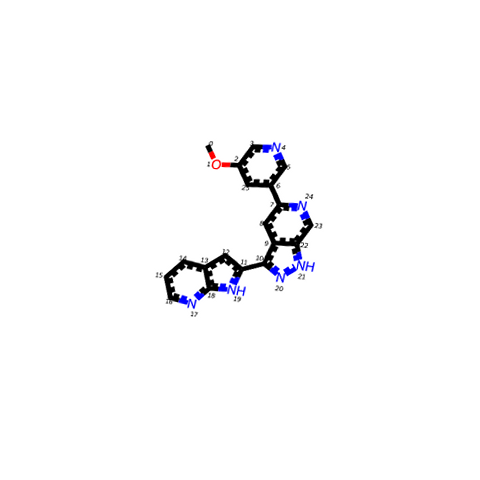 COc1cncc(-c2cc3c(-c4cc5cccnc5[nH]4)n[nH]c3cn2)c1